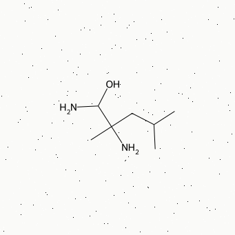 CC(C)CC(C)(N)C(N)O